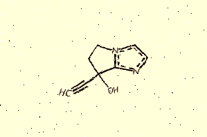 C#CC1(O)CCn2ccnc21